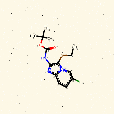 CCSc1c(NC(=O)OC(C)(C)C)nc2ccc(F)cn12